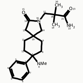 CNC1(c2ccccc2)CCC2(CC1)CC(=O)N(CC(C)(C)C(N)=O)C2